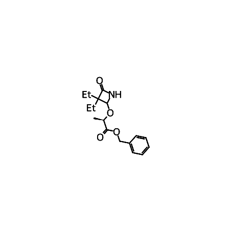 CCC1(CC)C(=O)NC1O[C@H](C)C(=O)OCc1ccccc1